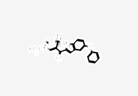 CN(C)C=C(C#N)C(=O)c1cc2cc(Oc3ccccc3)ccc2[nH]1